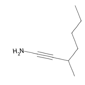 CCCCC(C)C#CN